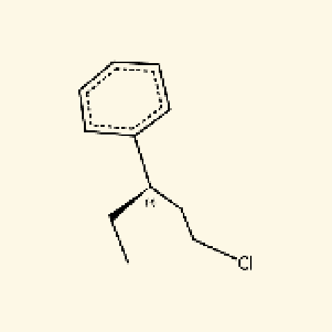 CC[C@H](CCCl)c1ccccc1